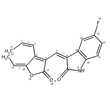 C/C=C\C1=C(/C=C2\C(=O)Nc3ccc(F)cc32)C(=O)O/C1=C/C